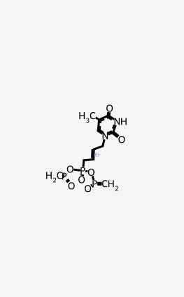 C=P(=O)OP(=O)(C/C=C/Cn1cc(C)c(=O)[nH]c1=O)OP(=C)=O